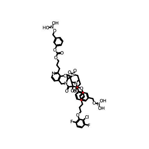 Cc1c(CN(C(=O)C2(C)C(c3ccc(CCCOc4c(F)ccc(F)c4Cl)cc3)CC3CS(=O)(=O)CC2N3C(=O)Oc2cccc(CON(O)O)c2)C2CC2)ccnc1CCCOC(=O)Oc1cccc(CON(O)O)c1